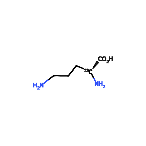 NCCC[13C@H](N)C(=O)O